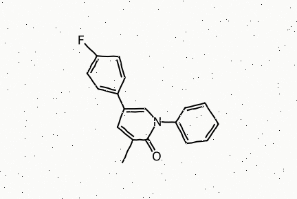 Cc1cc(-c2ccc(F)cc2)cn(-c2ccccc2)c1=O